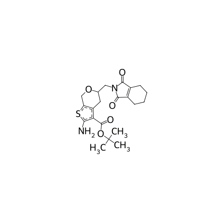 CC(C)(C)OC(=O)c1c(N)sc2c1CC(CN1C(=O)C3=C(CCCC3)C1=O)OC2